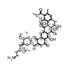 COC(=O)c1c(C)cc2c(c1O)[C@]1(O)C(=O)c3cc4c(c(O)c3C(=O)[C@]1(OC)[C@H](O)C2)C(=O)C=C(N[C@H]1O[C@@H](C)[C@H](OC)/C(=N/OCCN)[C@H]1CO)C4=O